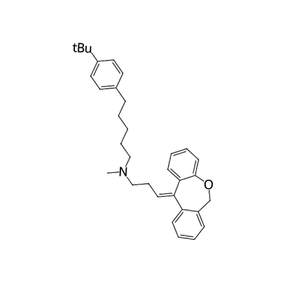 CN(CCC=C1c2ccccc2COc2ccccc21)CCCCCc1ccc(C(C)(C)C)cc1